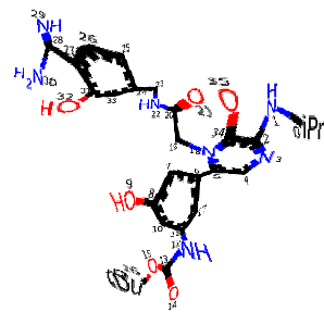 CC(C)Nc1ncc(-c2cc(O)cc(NC(=O)OC(C)(C)C)c2)n(CC(=O)NCc2ccc(C(=N)N)c(O)c2)c1=O